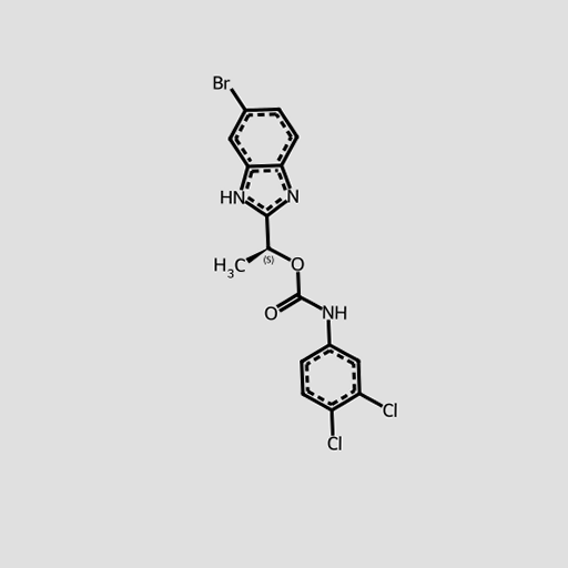 C[C@H](OC(=O)Nc1ccc(Cl)c(Cl)c1)c1nc2ccc(Br)cc2[nH]1